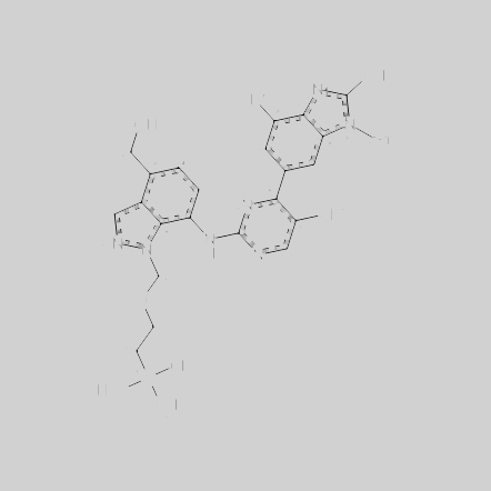 Cc1nc2c(F)cc(-c3nc(Nc4ccc(CO)c5cnn(COCC[Si](C)(C)C)c45)ncc3Cl)cc2n1C(C)C